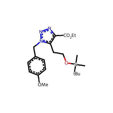 CCOC(=O)c1nnn(Cc2ccc(OC)cc2)c1CCO[Si](C)(C)C(C)(C)C